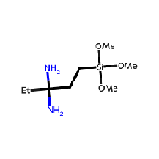 CCC(N)(N)CC[Si](OC)(OC)OC